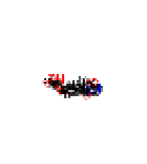 CC(C)C1=C2[C@H]3CC[C@@H]4[C@@]5(C)CC[C@H](OC(=O)CC(C)(C)C(=O)O)C(C)(C)[C@@H]5CC[C@@]4(C)[C@]3(C)CC[C@@]2(C(=O)N2CCN(C)C(=O)C2)CC1=O